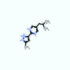 Cc1cc(-c2ncc(CC(C)C)cn2)[nH]n1